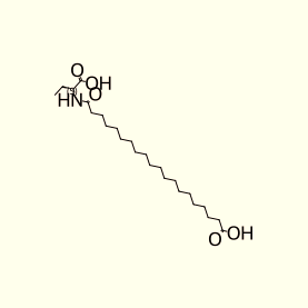 CC[C@H](NC(=O)CCCCCCCCCCCCCCCCCCC(=O)O)C(=O)O